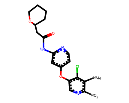 CNc1c([N+](=O)[O-])ncc(Oc2ccnc(NC(=O)CC3CCCCO3)c2)c1Cl